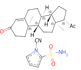 CC(=O)[C@H]1CC[C@H]2[C@@H]3CCC4=CC(=O)CC[C@]4(C)[C@H]3CC[C@]12C.N#Cn1cccc1S(N)(=O)=O